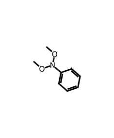 CON(OC)c1[c]cccc1